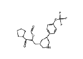 O=COC(CC1CNCC(c2ccc(OC(F)(F)F)cc2)C1)C(=O)C1CCCC1